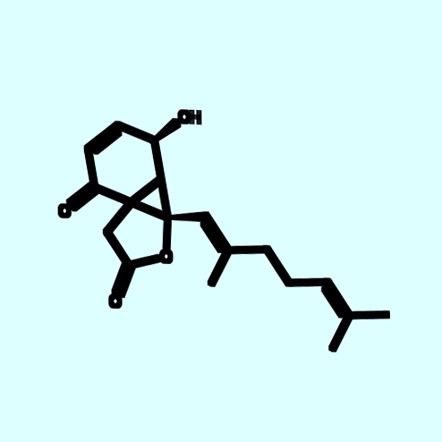 CC(C)=CCC/C(C)=C/[C@@]12OC(=O)CC13C(=O)C=C[C@@H](O)C32